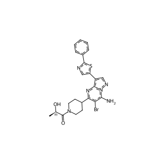 C[C@@H](O)C(=O)N1CCC(c2nc3c(-c4cnc(-c5ccccc5)s4)cnn3c(N)c2Br)CC1